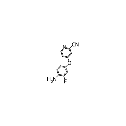 N#Cc1cc(Oc2ccc(N)c(F)c2)ccn1